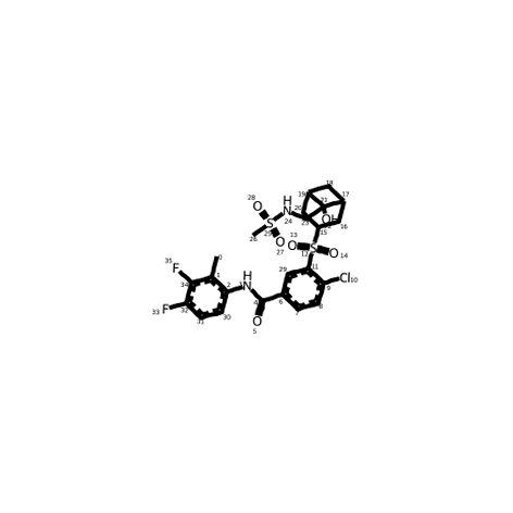 Cc1c(NC(=O)c2ccc(Cl)c(S(=O)(=O)C3CC4CC(C3)C4(O)CNS(C)(=O)=O)c2)ccc(F)c1F